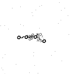 O=C(NS(=O)(=O)c1ccc(NCCSc2ccccc2)c([N+](=O)[O-])c1)c1ccc(/C=C/c2ccccc2)cc1